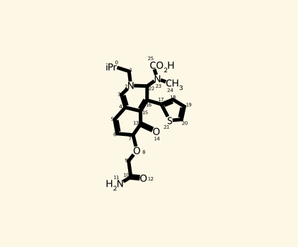 CC(C)CN1C=C2C=CC(OCC(N)=O)C(=O)C2=C(c2cccs2)C1N(C)C(=O)O